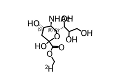 [2H]COC(=O)C1(O)C[C@H](O)[C@@H](NC(C)=O)[C@H](C(O)C(O)CO)O1